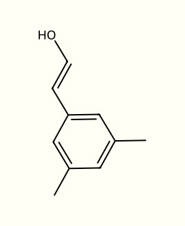 Cc1cc(C)cc(C=CO)c1